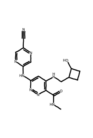 CNC(=O)c1nnc(Nc2cnc(C#N)cn2)cc1NCC1CCC1O